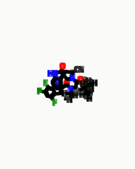 [2H]C([2H])([2H])N(C(=O)c1cc2c(F)cc(F)c(F)c2[nH]1)[C@@H](CC([2H])(C([2H])([2H])[2H])C([2H])([2H])[2H])C(=O)N1C[C@]2(C[C@H]1C#N)C(=O)Nc1ccccc12